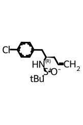 C=CC[C@H](Cc1ccc(Cl)cc1)N[S+]([O-])C(C)(C)C